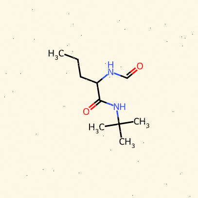 CCCC(NC=O)C(=O)NC(C)(C)C